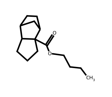 CCCCOC(=O)C12CCCC1C1CCC2C1